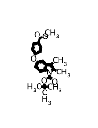 COC(=O)c1ccc(Oc2ccc3c(c2)c(C)c(C)n3C(=O)OC(C)(C)C)cc1